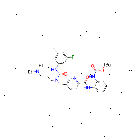 CCN(CC)CCCN(Cc1ccc(C(=O)Nc2ccccc2NC(=O)OC(C)(C)C)nc1)C(=O)Nc1cc(F)cc(F)c1